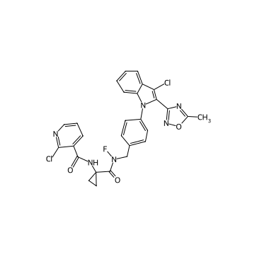 Cc1nc(-c2c(Cl)c3ccccc3n2-c2ccc(CN(F)C(=O)C3(NC(=O)c4cccnc4Cl)CC3)cc2)no1